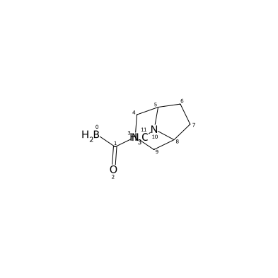 BC(=O)N1CC2CCC(C1)N2C